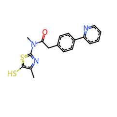 Cc1nc(N(C)C(=O)Cc2ccc(-c3ccccn3)cc2)sc1S